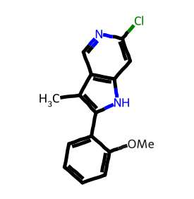 COc1ccccc1-c1[nH]c2cc(Cl)ncc2c1C